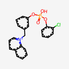 O=P(O)(Oc1cccc(C[n+]2cccc3ccccc32)c1)Oc1ccccc1Cl